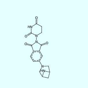 O=C1CCN(N2C(=O)c3ccc(N4CC5CC(C4)N5)cc3C2=O)C(=O)N1